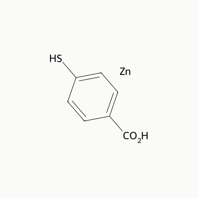 O=C(O)c1ccc(S)cc1.[Zn]